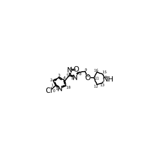 Clc1ccc(-c2noc(COC3CCNCC3)n2)cn1